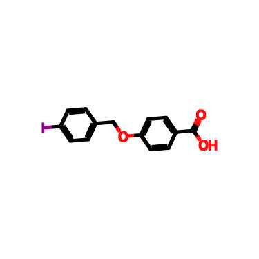 O=C(O)c1ccc(OCc2ccc(I)cc2)cc1